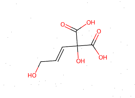 O=C(O)C(O)(C=CCO)C(=O)O